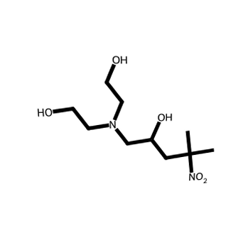 CC(C)(CC(O)CN(CCO)CCO)[N+](=O)[O-]